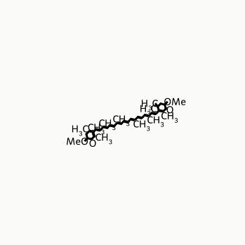 COC1CC(C)(C)C(/C=C/C(C)=C/C=C/C(C)=C/C=C/C=C(C)/C=C/C=C(C)/C=C/C2=C(C)C(=O)C(OC)CC2(C)C)=C(C)C1=O